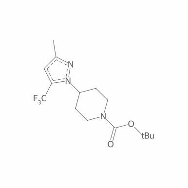 Cc1cc(C(F)(F)F)n(C2CCN(C(=O)OC(C)(C)C)CC2)n1